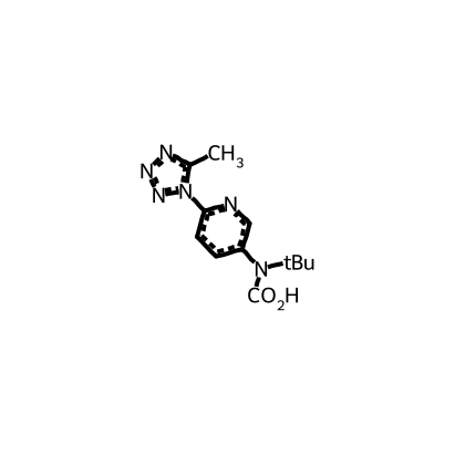 Cc1nnnn1-c1ccc(N(C(=O)O)C(C)(C)C)cn1